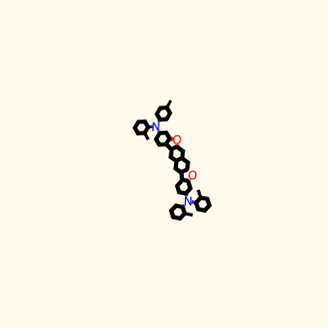 Cc1ccc(N(c2ccc3c(c2)oc2cc4cc5oc6cc(N(c7ccccc7C)c7ccccc7C)ccc6c5cc4cc23)c2ccccc2C)cc1